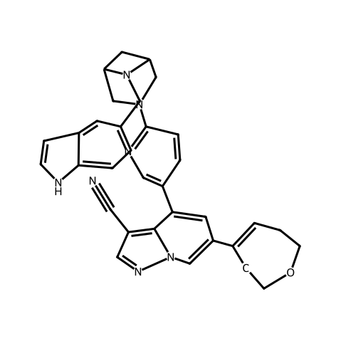 N#Cc1cnn2cc(C3=CCCOCC3)cc(-c3ccc(N4CC5CC(C4)N5Cc4ccc5[nH]ccc5c4)nc3)c12